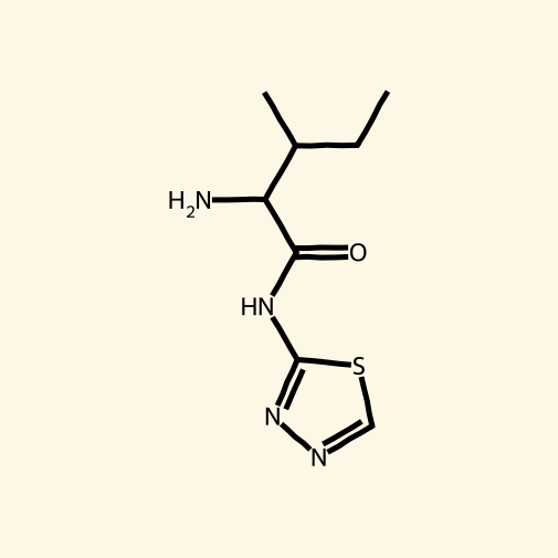 CCC(C)C(N)C(=O)Nc1nncs1